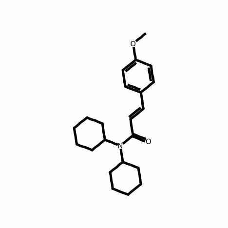 COc1ccc(C=CC(=O)N(C2CCCCC2)C2CCCCC2)cc1